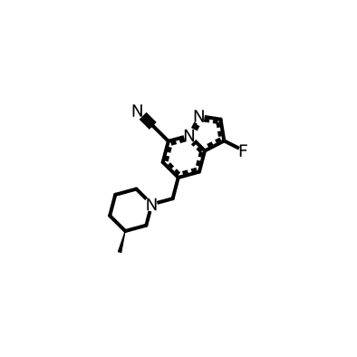 C[C@H]1CCCN(Cc2cc(C#N)n3ncc(F)c3c2)C1